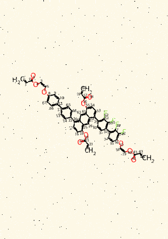 C=CC(=O)O/C=C\Oc1ccc(-c2ccc(-c3ccc(OC(=O)C=C)c4cc5c(-c6ccc(-c7ccc(O/C=C\OC(=O)C=C)c(F)c7F)c(F)c6F)ccc(OC(=O)C=C)c5cc34)cc2)cc1